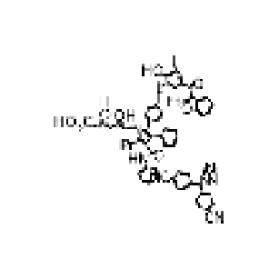 CC(C)c1c(C(=O)Nc2ccccc2)c(-c2ccccc2)c(-c2ccc(F)cc2)n1CC[C@@H](O)C[C@@H](O)CC(=O)O.CCc1oc2ccccc2c1C(=O)c1cc(I)c(O)c(I)c1.N#Cc1ccc(C(c2ccc(C#N)cc2)n2cncn2)cc1